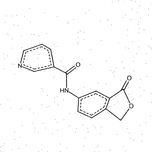 O=C(Nc1ccc2c(c1)C(=O)OC2)c1cccnc1